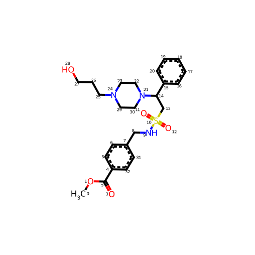 COC(=O)c1ccc(CNS(=O)(=O)CC(c2ccccc2)N2CCN(CCCO)CC2)cc1